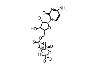 Nc1ccn([C@@H]2O[C@H](COP(O)(=S)OP(=O)(O)OP(=O)(O)O)C(O)[C@@H]2O)c(=O)n1